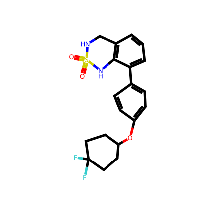 O=S1(=O)NCc2cccc(-c3ccc(OC4CCC(F)(F)CC4)cc3)c2N1